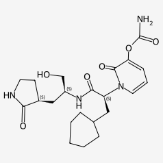 NC(=O)Oc1cccn([C@@H](CC2CCCCC2)C(=O)N[C@H](CO)C[C@@H]2CCNC2=O)c1=O